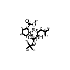 COC(=O)[C@@H]1CCC[N+]1([S-])C[C@H](CC(C)C)NC(=O)OC(C)(C)C